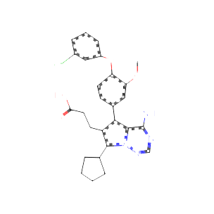 COc1cc(-c2c(CCC(=O)O)c(C3CCCC3)n3ncnc(N)c23)ccc1Oc1cccc(Cl)c1